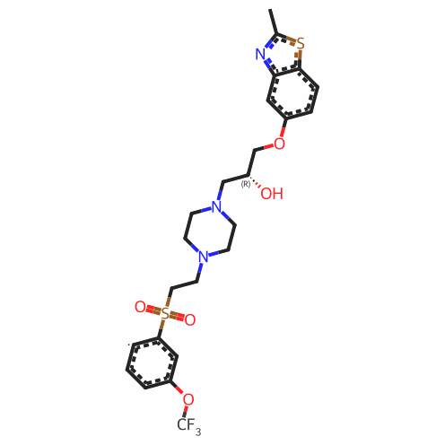 Cc1nc2cc(OC[C@H](O)CN3CCN(CCS(=O)(=O)c4[c]ccc(OC(F)(F)F)c4)CC3)ccc2s1